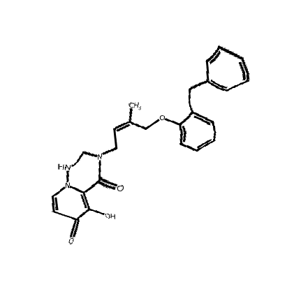 C/C(=C/CN1CNn2ccc(=O)c(O)c2C1=O)COc1ccccc1Cc1ccccc1